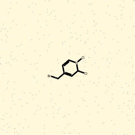 ClC1C=C(CBr)C=CN1Cl